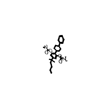 CCCCC(C)(C)c1cc(OC(=O)N(C)C)c(C2CCC(C3CCCCC3)CC2)c(OC(=O)N(C)C)c1